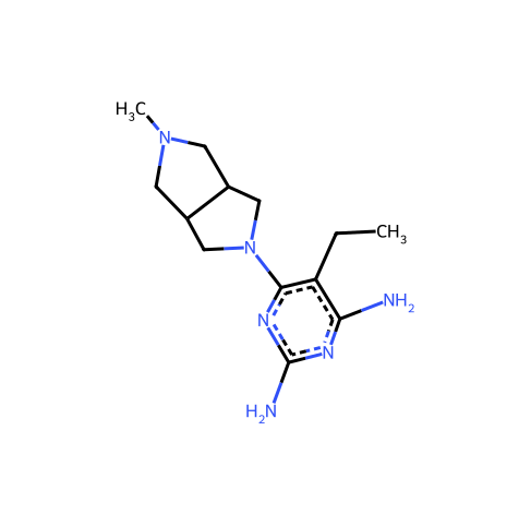 CCc1c(N)nc(N)nc1N1CC2CN(C)CC2C1